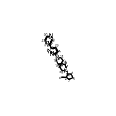 CC1CCCC1N1CCC2(CCN(c3ccc(-c4cnccn4)nn3)CC2)CC1